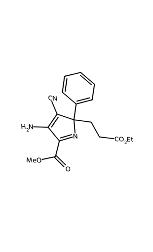 CCOC(=O)CCC1(c2ccccc2)N=C(C(=O)OC)C(N)=C1C#N